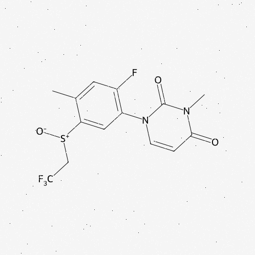 Cc1cc(F)c(-n2ccc(=O)n(C)c2=O)cc1[S+]([O-])CC(F)(F)F